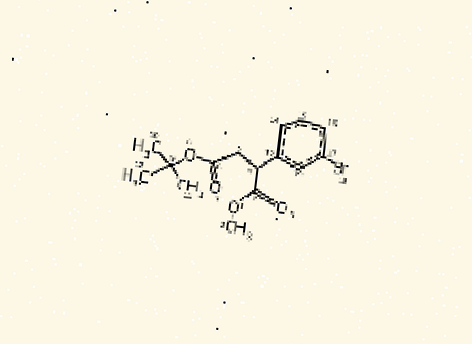 COC(=O)C(CC(=O)OC(C)(C)C)c1cccc(Br)c1